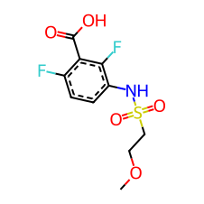 COCCS(=O)(=O)Nc1ccc(F)c(C(=O)O)c1F